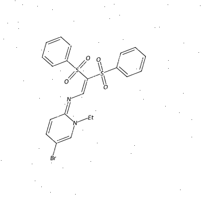 CCn1cc(Br)ccc1=NC=C(S(=O)(=O)c1ccccc1)S(=O)(=O)c1ccccc1